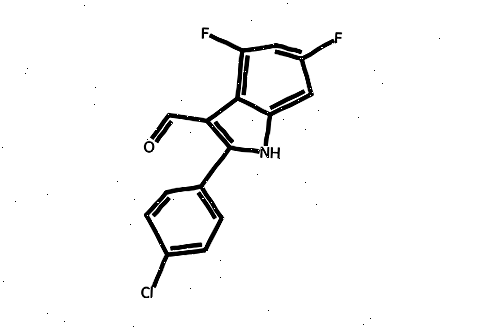 O=Cc1c(-c2ccc(Cl)cc2)[nH]c2cc(F)cc(F)c12